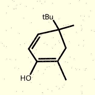 CC1=C(O)C=CC(C)(C(C)(C)C)C1